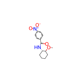 CO[C@H]1CCCC[C@@H]1NC(=O)c1ccc([N+](=O)[O-])cc1